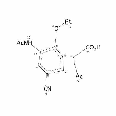 CC(=O)CC(=O)O.CCOc1ccc(C#N)cc1NC(C)=O